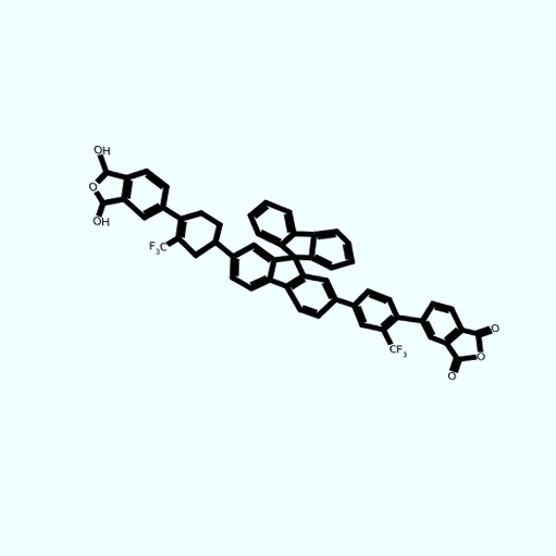 O=C1OC(=O)c2cc(-c3ccc(-c4ccc5c(c4)C4(c6ccccc6-c6ccccc64)c4cc(C6CCC(c7ccc8c(c7)C(O)OC8O)=C(C(F)(F)F)C6)ccc4-5)cc3C(F)(F)F)ccc21